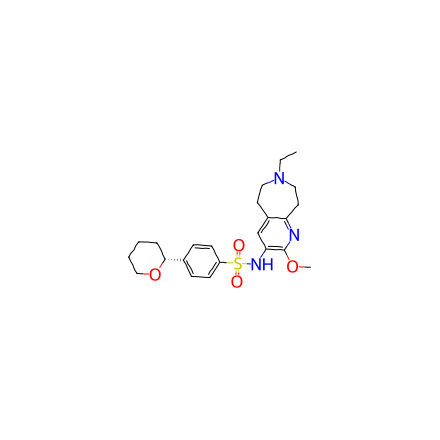 CCN1CCc2cc(NS(=O)(=O)c3ccc([C@H]4CCCCO4)cc3)c(OC)nc2CC1